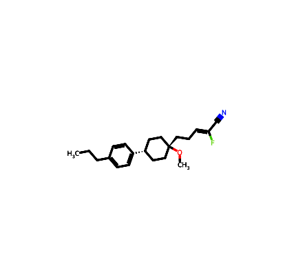 CCCc1ccc([C@H]2CC[C@@](CCC=C(F)C#N)(OC)CC2)cc1